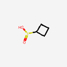 O=S(O)C1CCC1